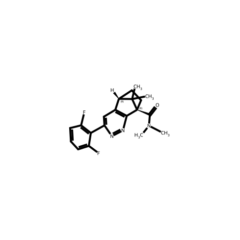 CN(C)C(=O)[C@@]12CC[C@@H](c3cc(-c4c(F)cccc4F)nnc31)C2(C)C